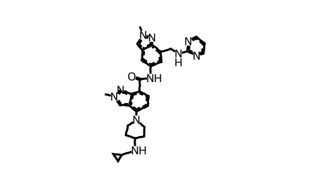 Cn1cc2cc(NC(=O)c3ccc(N4CCC(NC5CC5)CC4)c4cn(C)nc34)cc(CNc3ncccn3)c2n1